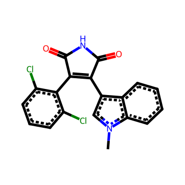 Cn1cc(C2=C(c3c(Cl)cccc3Cl)C(=O)NC2=O)c2ccccc21